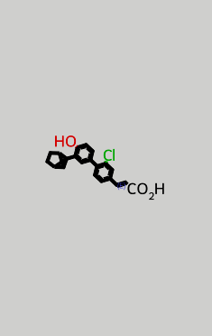 O=C(O)/C=C/c1ccc(-c2ccc(O)c(C3=CC4CCC3C4)c2)c(Cl)c1